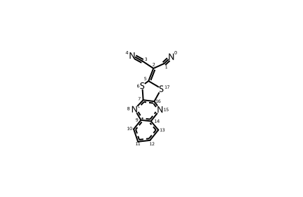 N#CC(C#N)=C1Sc2nc3ccccc3nc2S1